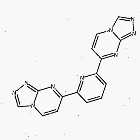 c1cc(-c2ccn3cnnc3n2)nc(-c2ccn3cnnc3n2)c1